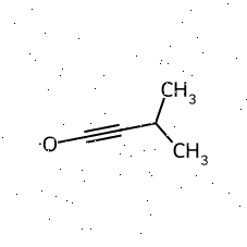 CC(C)C#C[O]